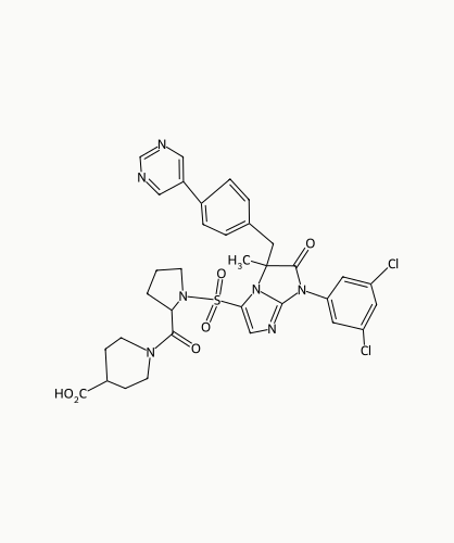 CC1(Cc2ccc(-c3cncnc3)cc2)C(=O)N(c2cc(Cl)cc(Cl)c2)c2ncc(S(=O)(=O)N3CCCC3C(=O)N3CCC(C(=O)O)CC3)n21